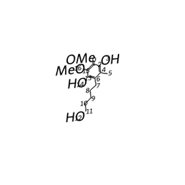 COc1c(O)c(C)c(CCCCCO)c(O)c1OC